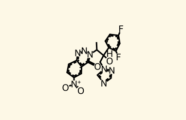 CC(n1nnc2ccc([N+](=O)[O-])cc2c1=O)C(O)(Cn1cncn1)c1ccc(F)cc1F